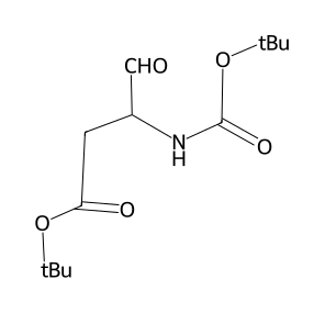 CC(C)(C)OC(=O)CC(C=O)NC(=O)OC(C)(C)C